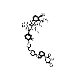 COc1cc(OC2C(C)(C)C(NC(=O)c3ccc(N4CCC(CN5CCC(n6ccc7c(N8CCC(=O)NC8=O)cccc76)CC5)CC4)c(F)c3)C2(C)C)ccc1C#N